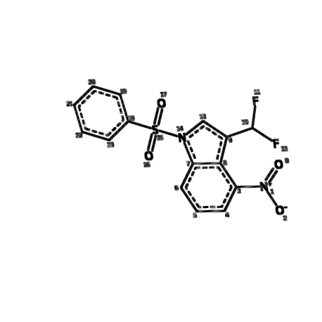 O=[N+]([O-])c1cccc2c1c(C(F)F)cn2S(=O)(=O)c1ccccc1